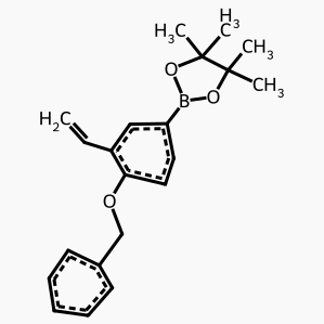 C=Cc1cc(B2OC(C)(C)C(C)(C)O2)ccc1OCc1ccccc1